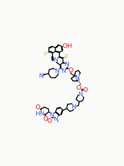 C#Cc1c(F)ccc2cc(O)cc(-c3ncc4c(N5CCCC(C#N)CC5)nc(OC[C@@]56CCCN5[C@H](COC(=O)N5CCC(CN7CCC(c8ccc9c(c8)n(C)c(=O)n9C8CCC(=O)NC8=O)CC7)CC5)CC6)nc4c3F)c12